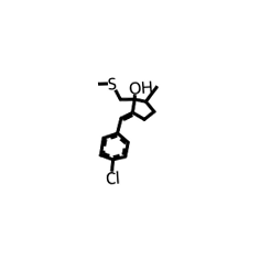 CSCC1(O)C(=Cc2ccc(Cl)cc2)CCC1C